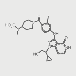 Cc1cc(Nc2nn(C(CC#N)C3CC3)c3cc[nH]c(=O)c23)ccc1C(=O)N1CCC(N(C)C(=O)O)CC1